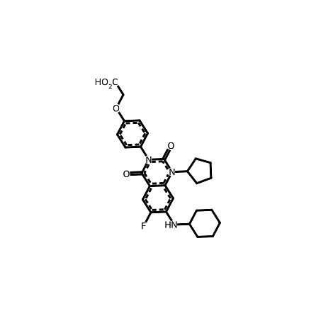 O=C(O)COc1ccc(-n2c(=O)c3cc(F)c(NC4CCCCC4)cc3n(C3CCCC3)c2=O)cc1